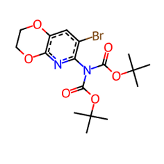 CC(C)(C)OC(=O)N(C(=O)OC(C)(C)C)c1nc2c(cc1Br)OCCO2